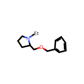 CCN1CCCC1COCc1ccccc1